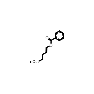 CCCCCCCCCCC=COC(=O)c1ccccc1